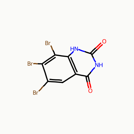 O=c1[nH]c(=O)c2cc(Br)c(Br)c(Br)c2[nH]1